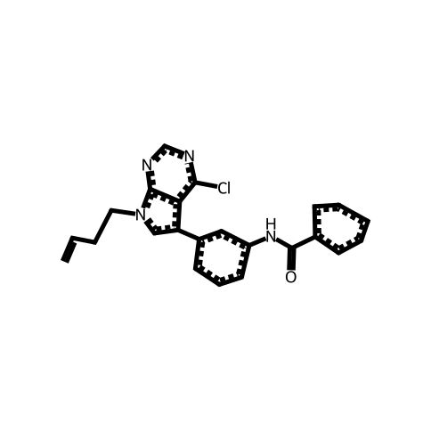 C=CCCn1cc(-c2cccc(NC(=O)c3ccccc3)c2)c2c(Cl)ncnc21